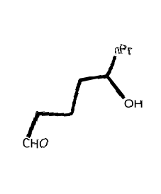 CCCC(O)CCCC=O